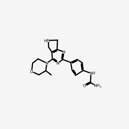 CC1COCCN1c1nc(-c2ccc(NC(N)=O)cc2)nc2c1CNC2